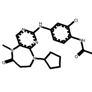 CC(=O)Nc1ccc(Nc2ncc3c(n2)N(C2CCCC2)CCC(=O)N3C)cc1Cl